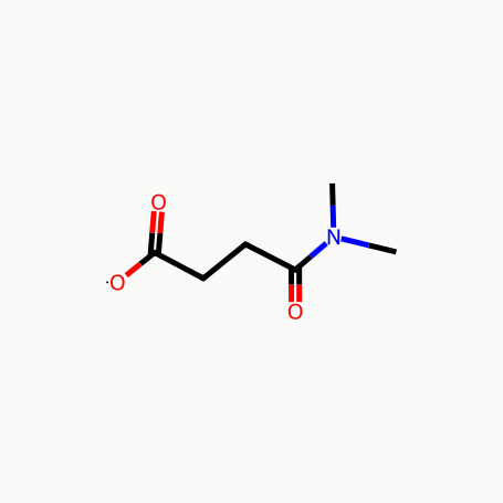 CN(C)C(=O)CCC([O])=O